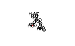 Nc1c(Cl)cc(C[C@@H](OC(=O)N2CCC(N3CCc4ccccc4NC3=O)CC2)C(=O)N2CCC(C(=O)O)(C3CCCCC3)CC2)cc1C(F)(F)F